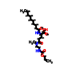 C=CCOC(=O)NCCN(C)C(=O)CCC(NC(=O)CCCCCCCCC)C(=O)O